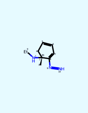 CCN[C@]1(C)CC=CC=C1N=N